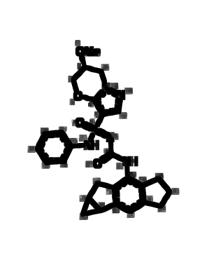 CO[C@@H]1COc2c(S(=O)(=NC(=O)Nc3c4c(cc5c3CC3CC53)CCC4)Nc3ccccc3)cnn2C1